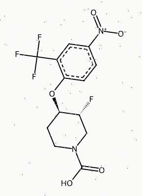 O=C(O)N1CC[C@@H](Oc2ccc([N+](=O)[O-])cc2C(F)(F)F)[C@H](F)C1